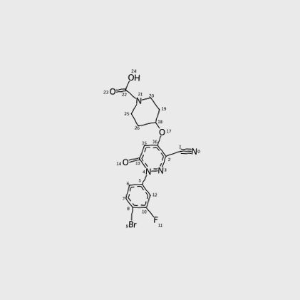 N#Cc1nn(-c2ccc(Br)c(F)c2)c(=O)cc1OC1CCN(C(=O)O)CC1